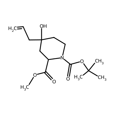 C=CCC1(O)CCN(C(=O)OC(C)(C)C)C(C(=O)OC)C1